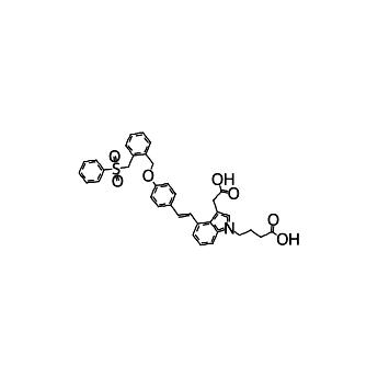 O=C(O)CCCn1cc(CC(=O)O)c2c(C=Cc3ccc(OCc4ccccc4CS(=O)(=O)c4ccccc4)cc3)cccc21